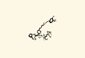 CN(C1=Nc2ccccc2CS1)C1CCN(CCCCOCCc2ccc(F)c(F)c2)CC1.O=C(O)C=CC(=O)O